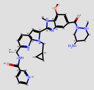 COc1cc(C(=O)N2C[C@H](N)CCN2C)cc2nc(-c3cc4ccc([C@@H](C)NC(=O)c5cccnc5)nc4n3CC3CC3)n(C)c12